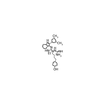 CCNC(=Nc1c(-c2cc(C)cc(C)c2)[nH]c2ccccc12)N(CCCCc1ccc(O)cc1)NC(=N)N